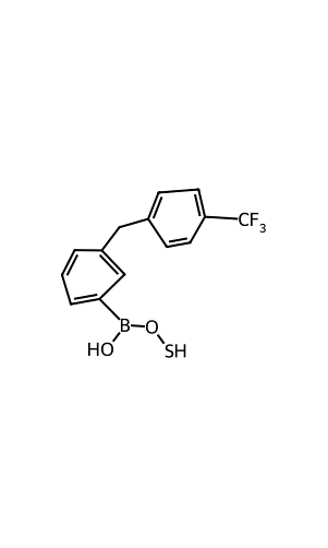 OB(OS)c1cccc(Cc2ccc(C(F)(F)F)cc2)c1